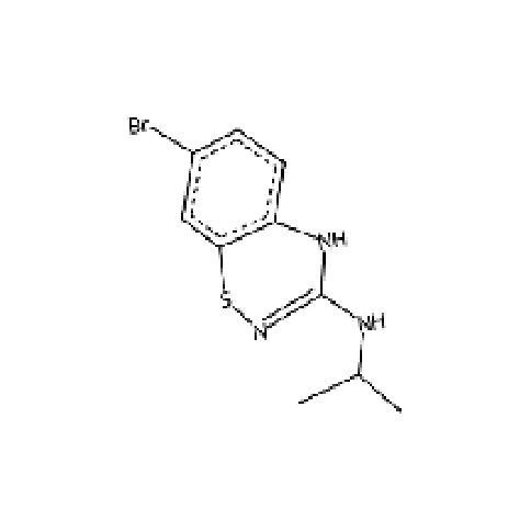 CC(C)NC1=NSc2cc(Br)ccc2N1